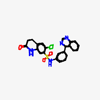 O=C1CCc2cc(Cl)c(S(=O)(=O)Nc3cccc(-c4ncnc5ccccc45)c3)cc2N1